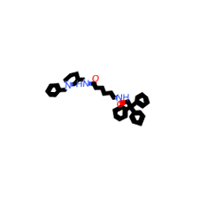 O=C(CCCCCNC(=O)CC(c1ccccc1)(c1ccccc1)c1ccccc1)NCC1CCCN(Cc2ccccc2)C1